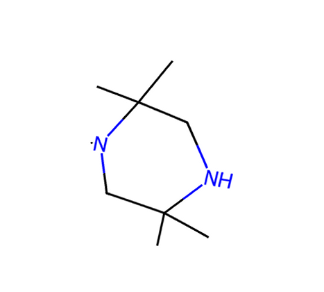 CC1(C)CNC(C)(C)C[N]1